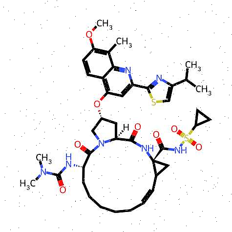 COc1ccc2c(O[C@@H]3C[C@H]4C(=O)N[C@]5(C(=O)NS(=O)(=O)C6CC6)CC5/C=C\CCCCC[C@H](NC(=O)N(C)C)C(=O)N4C3)cc(-c3nc(C(C)C)cs3)nc2c1C